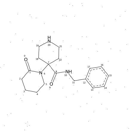 O=C1CCCCN1C1(C(=O)NCc2ccccc2)CCNCC1